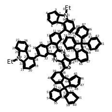 CCn1c2ccccc2c2c(-c3ccc4c5ccc(-c6cccc7c6c6ccccc6n7CC)cc5c5nc6c(-c7cccc8c7-c7ccccc7C8(c7ccccc7)c7ccccc7)sc(-c7cccc8c7-c7ccccc7C8(c7ccccc7)c7ccccc7)c6nc5c4c3)cccc21